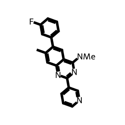 CNc1nc(-c2cccnc2)nc2cc(C)c(-c3cccc(F)c3)cc12